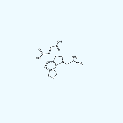 C[C@H](N)CN1CCc2ccc3c(c21)CCS3.O=C(O)C=CC(=O)O